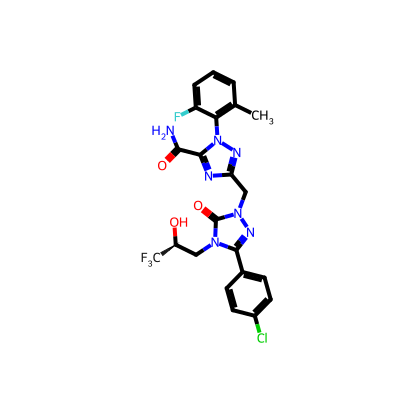 Cc1cccc(F)c1-n1nc(Cn2nc(-c3ccc(Cl)cc3)n(C[C@H](O)C(F)(F)F)c2=O)nc1C(N)=O